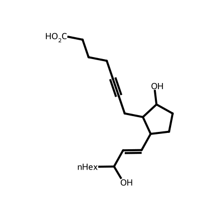 CCCCCCC(O)C=CC1CCC(O)C1CC#CCCCC(=O)O